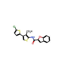 O=C(Nc1scc(-c2ccc(Cl)s2)c1C(=O)O)c1cc2ccccc2o1